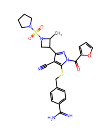 CC1C(c2nn(C(=O)c3ccco3)c(SCc3ccc(C(=N)N)cc3)c2C#N)CN1S(=O)(=O)N1CCCC1